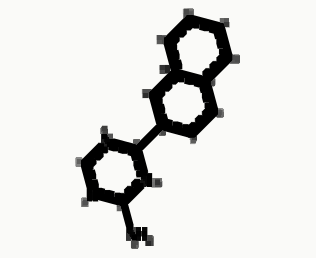 Nc1ncnc(-c2ccc3ccccc3c2)n1